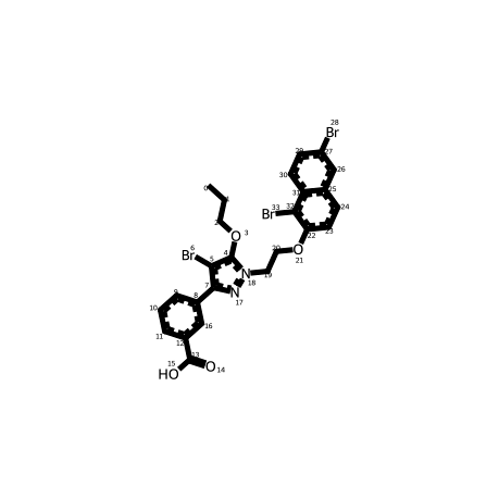 CCCOc1c(Br)c(-c2cccc(C(=O)O)c2)nn1CCOc1ccc2cc(Br)ccc2c1Br